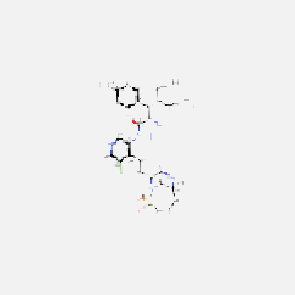 CCC(CC)[C@H](c1ccc(Cl)cc1)[C@H](N)C(=O)Nc1cncc(F)c1CC[C@H]1CN[C@@H]2CCCS(=O)(=O)N1C2